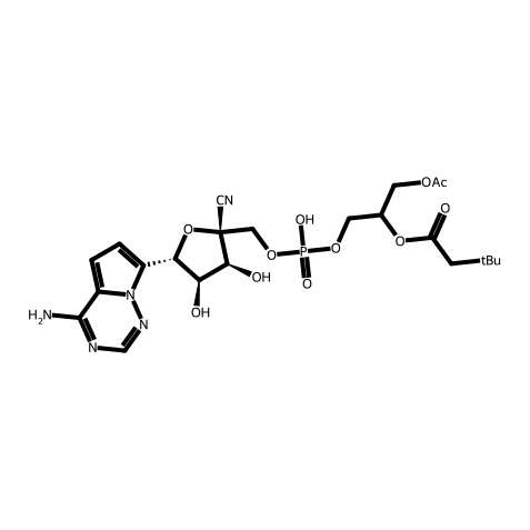 CC(=O)OCC(COP(=O)(O)OC[C@@]1(C#N)O[C@@H](c2ccc3c(N)ncnn23)[C@H](O)[C@@H]1O)OC(=O)CC(C)(C)C